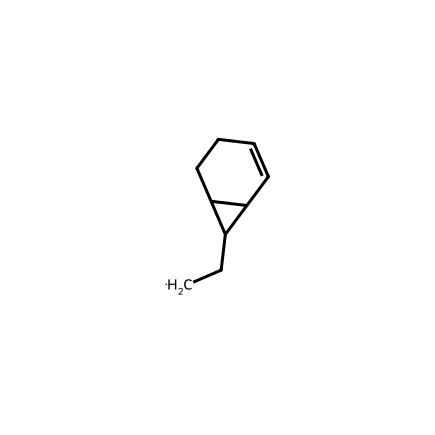 [CH2]CC1C2C=CCCC21